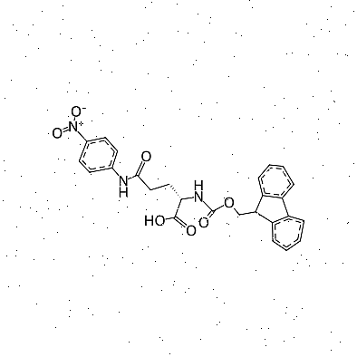 O=C(CC[C@H](NC(=O)OCC1c2ccccc2-c2ccccc21)C(=O)O)Nc1ccc([N+](=O)[O-])cc1